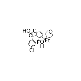 CCC(O)(c1ccc(C(=O)O)c(C(=O)c2ccc(Cl)cc2)c1F)C1CCOCC1